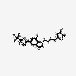 Cc1cc(CCCCn2ccc3cc(-c4noc(C(F)(F)F)n4)cc(C)c32)on1